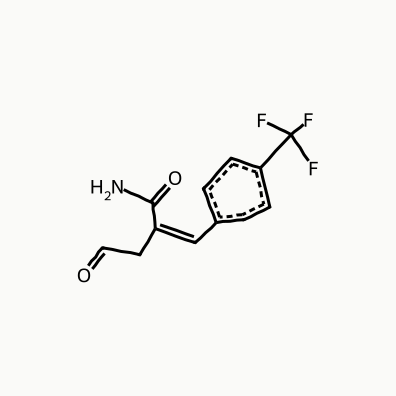 NC(=O)C(=Cc1ccc(C(F)(F)F)cc1)CC=O